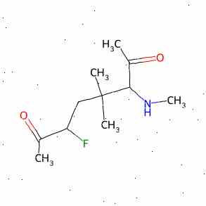 CNC(C(C)=O)C(C)(C)CC(F)C(C)=O